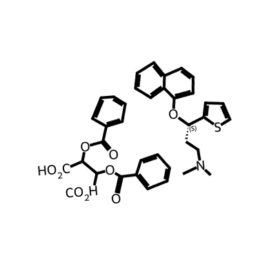 CN(C)CC[C@H](Oc1cccc2ccccc12)c1cccs1.O=C(OC(C(=O)O)C(OC(=O)c1ccccc1)C(=O)O)c1ccccc1